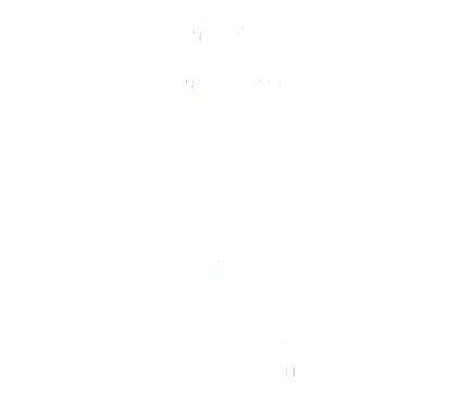 COc1ccc(OCCCCCCn2cnc(C)c2CO)c(Cl)c1